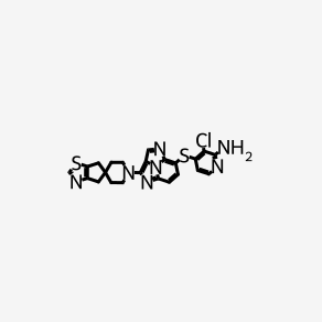 Nc1nccc(Sc2ccc3nc(N4CCC5(CC4)Cc4ncsc4C5)c4cnc2n34)c1Cl